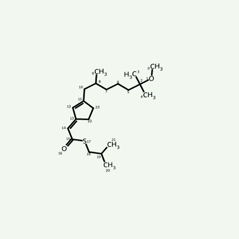 COC(C)(C)CCCC(C)CC1=C/C(=C/C(=O)SCC(C)C)CC1